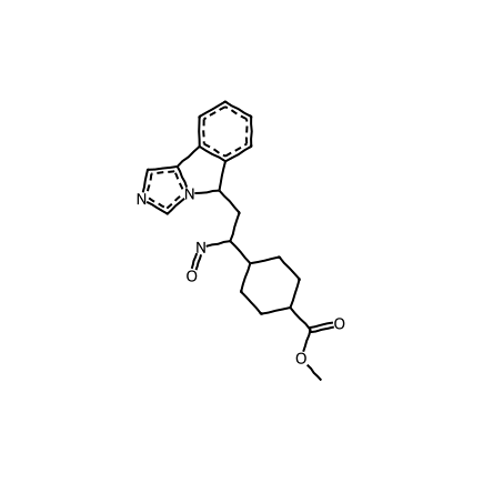 COC(=O)C1CCC(C(CC2c3ccccc3-c3cncn32)N=O)CC1